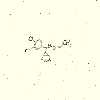 C=CCON=C(c1ccc(Cl)c(Cl)c1)C1C2CNCC21